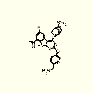 CNc1cc(F)cc2c1[nH]c1nc(Oc3ccc(CN)nc3)nc(N3CC4CC3C[C@@H]4N)c12